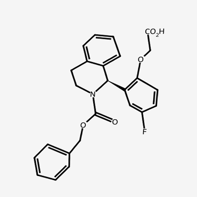 O=C(O)COc1ccc(F)cc1[C@@H]1c2ccccc2CCN1C(=O)OCc1ccccc1